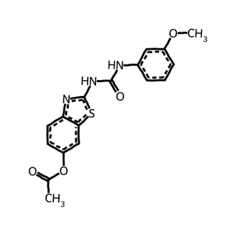 COc1cccc(NC(=O)Nc2nc3ccc(OC(C)=O)cc3s2)c1